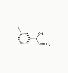 C=CC(O)c1cccc(I)c1